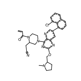 C=CC(=O)N1CCN(c2nc(OCC3CCCN3C)nc3cc(-c4cccc5cccc(Cl)c45)cnc23)CC1CC#N